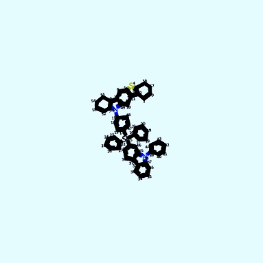 C1=Cc2c(sc3cc4c5c(n(-c6ccc([Si](c7ccccc7)(c7ccccc7)c7ccc8c9ccccc9n(-c9ccccc9)c8c7)cc6)c4cc23)C=CCC5)CC1